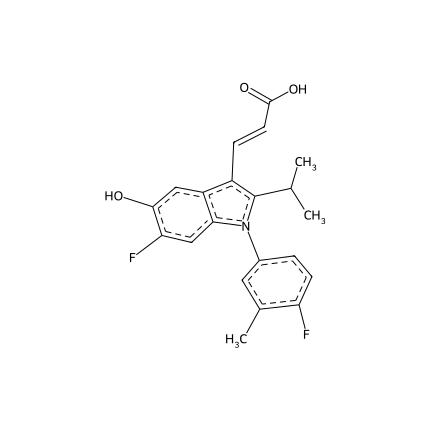 Cc1cc(-n2c(C(C)C)c(C=CC(=O)O)c3cc(O)c(F)cc32)ccc1F